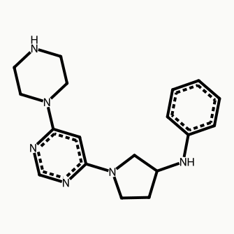 c1ccc(NC2CCN(c3cc(N4CCNCC4)ncn3)C2)cc1